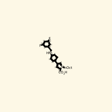 CCCCCCCCn1cc(-c2ccc(NCc3cc(F)cc(F)c3)cc2)cc1C(=O)O